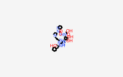 O=C(CO)N[C@H]1C[C@@H](n2cnc3c(N[C@H](CO)Cc4ccccc4)nc(C#CCN4CCC(NC(=O)Oc5ccccc5)C4)nc32)[C@H](O)[C@@H]1O